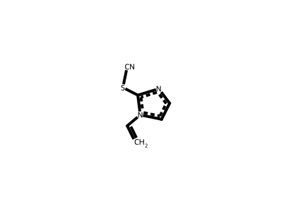 C=Cn1ccnc1SC#N